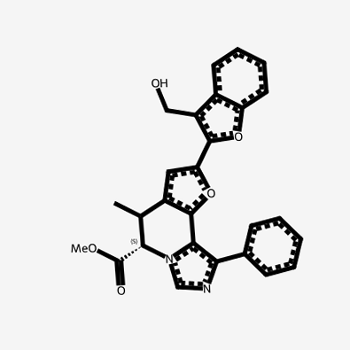 COC(=O)[C@@H]1C(C)c2cc(-c3oc4ccccc4c3CO)oc2-c2c(-c3ccccc3)ncn21